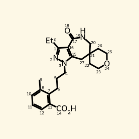 CCc1nn(CCCc2c(C)cccc2C(=O)O)c2c1C(=O)NCC1(CCOCC1)C2